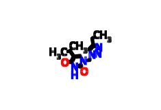 CCc1cn(Cn2cc(C(C)C)c(=O)[nH]c2=O)nn1